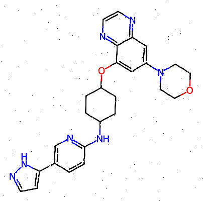 c1cc(-c2ccc(NC3CCC(Oc4cc(N5CCOCC5)cc5nccnc45)CC3)nc2)[nH]n1